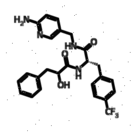 Nc1ccc(CNC(=O)[C@H](Cc2ccc(C(F)(F)F)cc2)NC(=O)C(O)Cc2ccccc2)cn1